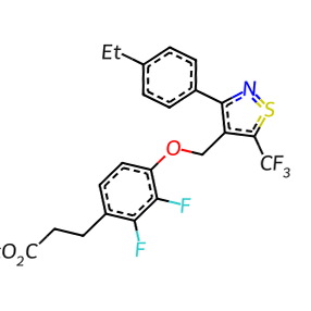 CCOC(=O)CCc1ccc(OCc2c(-c3ccc(CC)cc3)nsc2C(F)(F)F)c(F)c1F